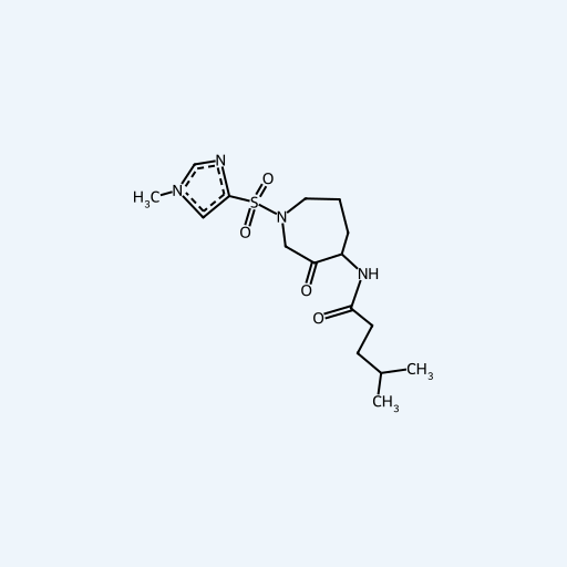 CC(C)CCC(=O)NC1CCCN(S(=O)(=O)c2cn(C)cn2)CC1=O